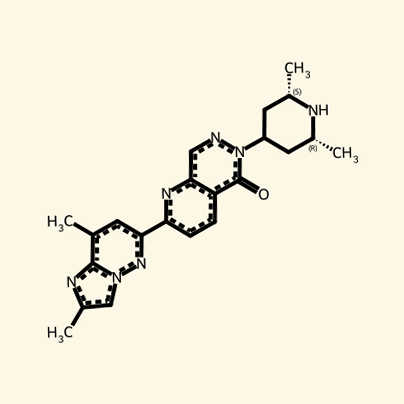 Cc1cn2nc(-c3ccc4c(=O)n(C5C[C@@H](C)N[C@@H](C)C5)ncc4n3)cc(C)c2n1